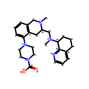 CN1Cc2cccc(N3CCN(C(=O)O)CC3)c2CC1CN(C)C1CCCc2cccnc21